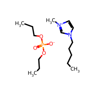 CCCCCn1cc[n+](C)c1.CCCOP(=O)([O-])OCCC